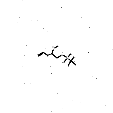 C=CC[C@H](CO[Si](C)(C)C(C)(C)C)OC